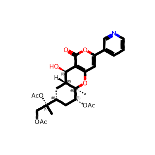 CC(=O)OC[C@@](C)(OC(C)=O)[C@@H]1C[C@@H]2[C@@H](O)c3c(cc(-c4cccnc4)oc3=O)O[C@@]2(C)[C@H](OC(C)=O)C1